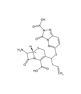 C=CCC(Sc1ccc2nn(C(=O)O)c(=O)n2n1)C1=C(C(=O)O)N2C(=O)C(N)[C@@H]2SC1